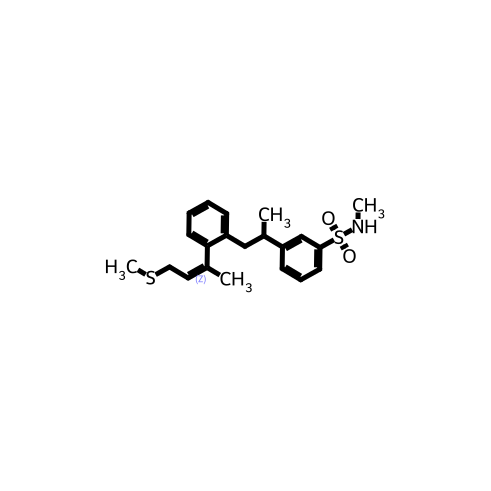 CNS(=O)(=O)c1cccc(C(C)Cc2ccccc2/C(C)=C\CSC)c1